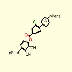 CCCCCc1ccc(OC(=O)c2ccc(C34CCC(CCCCC)(CC3)CC4)c(Cl)c2)c(C#N)c1C#N